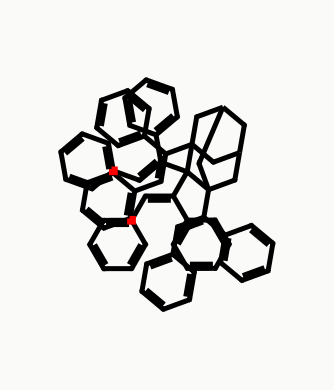 C(=C(c1ccccc1)C12CC3CC(C1)CC(C(=Cc1ccccc1)c1ccccc1)(C3)C2(C(=Cc1ccccc1)c1ccccc1)C(=Cc1ccccc1)c1ccccc1)c1ccccc1